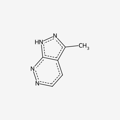 Cc1n[nH]c2nnccc12